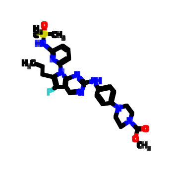 CCCc1c(F)c2cnc(Nc3ccc(N4CCN(C(=O)OC)CC4)cc3)nc2n1-c1cccc(N[SH](C)(C)=O)n1